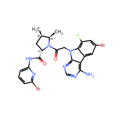 C[C@@H]1C[C@@H](C(=O)Nc2cccc(Br)n2)N(C(=O)Cn2c3ncnc(N)c3c3cc(Br)cc(F)c32)[C@@H]1C